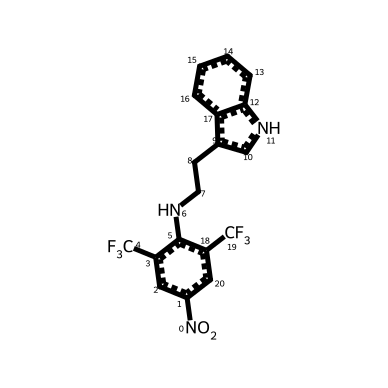 O=[N+]([O-])c1cc(C(F)(F)F)c(NCCc2c[nH]c3ccccc23)c(C(F)(F)F)c1